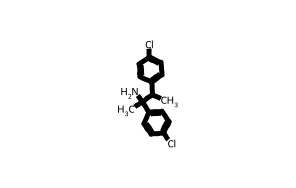 CC(c1ccc(Cl)cc1)C(C)(N)c1ccc(Cl)cc1